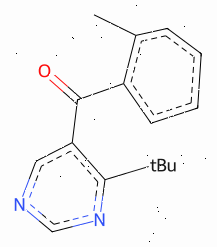 Cc1ccccc1C(=O)c1cncnc1C(C)(C)C